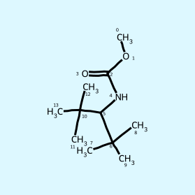 COC(=O)NC(C(C)(C)C)C(C)(C)C